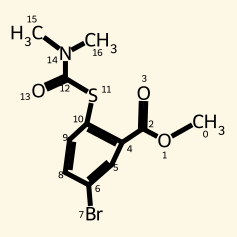 COC(=O)c1cc(Br)ccc1SC(=O)N(C)C